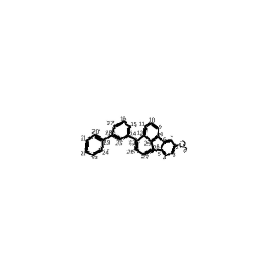 COc1ccc2c(c1)-c1cccc3c(-c4cccc(-c5ccccc5)c4)ccc-2c13